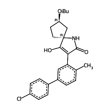 Cc1ccc(-c2ccc(Cl)cc2)cc1C1=C(O)[C@]2(CC[C@@H](OCC(C)C)C2)NC1=O